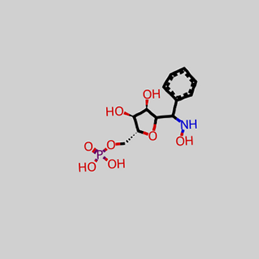 O=P(O)(O)OC[C@H]1OC(C(NO)c2ccccc2)[C@H](O)[C@@H]1O